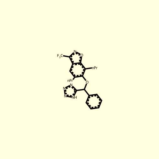 CCCc1cc2c(C(F)(F)F)noc2c(CCC)c1OC(c1ccccc1)c1nnn[nH]1